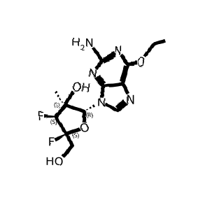 CCOc1nc(N)nc2c1ncn2[C@@H]1O[C@](F)(CO)[C@@H](F)[C@@]1(C)O